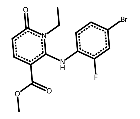 CCn1c(Nc2ccc(Br)cc2F)c(C(=O)OC)ccc1=O